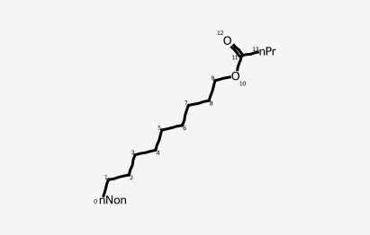 CCCCCCCCCCCCCCCCCCOC(=O)CCC